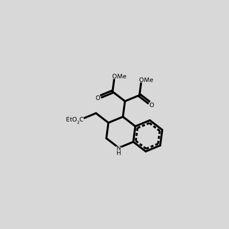 CCOC(=O)CC1CNc2ccccc2C1C(C(=O)OC)C(=O)OC